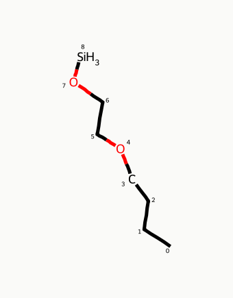 CCCCOCCO[SiH3]